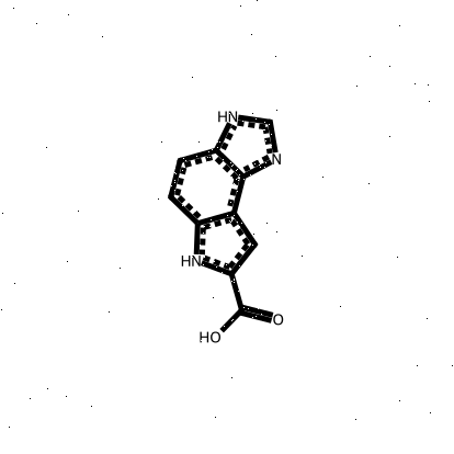 O=C(O)c1cc2c(ccc3[nH]cnc32)[nH]1